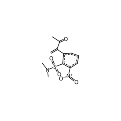 C=C(C(C)=O)c1cccc([N+](=O)[O-])c1S(=O)(=O)N(C)C